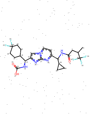 CC(CC(=O)NC(c1ccn2cc([C@@H](NC(=O)O)C3CCC(F)(F)CC3)nc2n1)C1CC1)C(F)(F)F